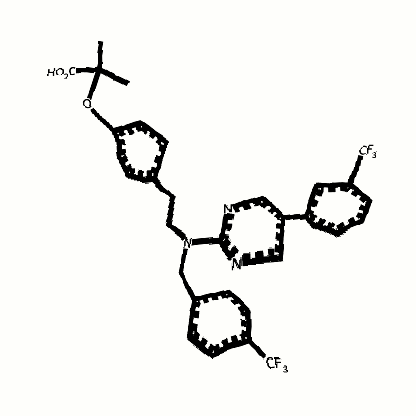 CC(C)(Oc1ccc(CCN(Cc2ccc(C(F)(F)F)cc2)c2ncc(-c3cccc(C(F)(F)F)c3)cn2)cc1)C(=O)O